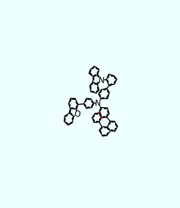 c1ccc(-c2cccc3cccc(-c4ccc(N(c5ccc(-c6ccccc6-n6c7ccccc7c7ccccc76)cc5)c5ccc(-c6cccc7c6oc6ccccc67)cc5)cc4)c23)cc1